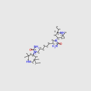 CCC1(C)CNCC(C)(C)C/C(=[N+](/CCCCCCCCN(C(N)=O)C2CC(C)(C)N[C@](C)(CC)C2)C(N)=O)C1